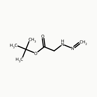 C=NNCC(=O)OC(C)(C)C